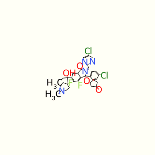 CC[C@](O)(c1cc(F)c2c(c1)C(=O)N(Cc1ncc(Cl)cn1)[C@@]2(O[C@H]1CCC(=O)C1)c1ccc(Cl)cc1)C1(F)CCN(C)CC1